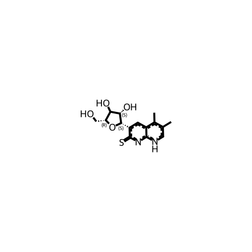 Cc1c[nH]c2nc(=S)c([C@@H]3O[C@H](CO)C(O)[C@@H]3O)cc-2c1C